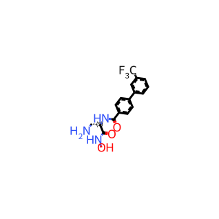 NC[C@H](NC(=O)c1ccc(-c2cccc(C(F)(F)F)c2)cc1)C(=O)NO